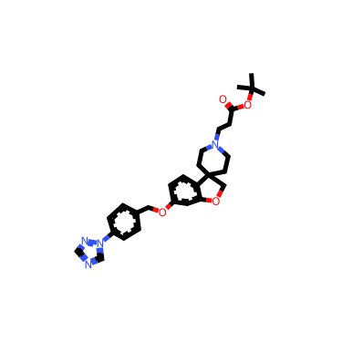 CC(C)(C)OC(=O)CCN1CCC2(CC1)COc1cc(OCc3ccc(-n4cncn4)cc3)ccc12